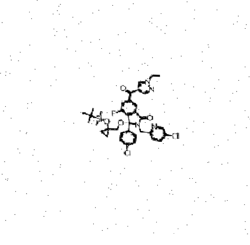 CCn1cc(C(=O)c2cc(F)c3c(c2)C(=O)N(Cc2ccc(Cl)cn2)[C@@]3(OCC2(O[Si](C)(C)C(C)(C)C)CC2)c2ccc(Cl)cc2)cn1